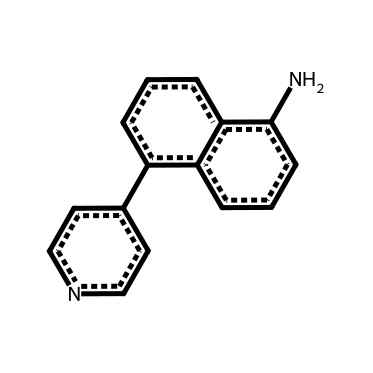 Nc1cccc2c(-c3ccncc3)cccc12